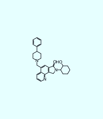 O=C1c2cc(CN3CCC(c4ccccc4)CC3)c3cccnc3c2CN1C1CCCCC1O